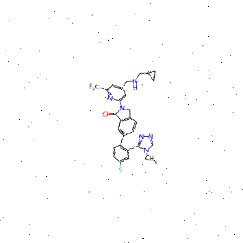 Cn1cnnc1-c1cc(F)ccc1-c1ccc2c(c1)C(=O)N(c1cc(CNCC3CC3)cc(C(F)(F)F)n1)C2